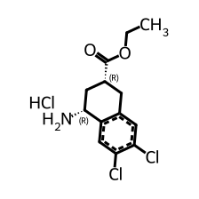 CCOC(=O)[C@@H]1Cc2cc(Cl)c(Cl)cc2[C@H](N)C1.Cl